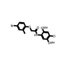 COc1cc(NC(=O)COc2ccc(Br)cc2C)c(OC)cc1Cl